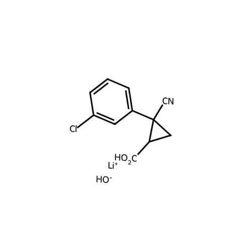 N#CC1(c2cccc(Cl)c2)CC1C(=O)O.[Li+].[OH-]